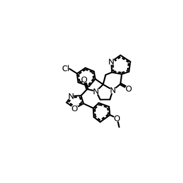 COc1ccc(-c2ocnc2C(=O)N2CCN3C(=O)c4cccnc4CC32c2ccc(Cl)cc2)cc1